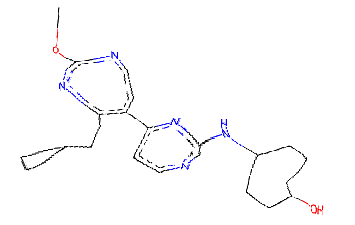 COc1ncc(-c2ccnc(NC3CCC(O)CC3)n2)c(CC2CC2)n1